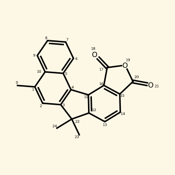 Cc1cc2c(c3ccccc13)-c1c(ccc3c1C(=O)OC3=O)C2(C)C